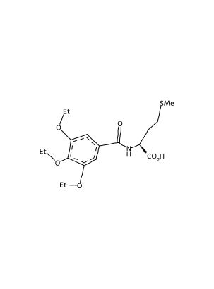 CCOc1cc(C(=O)N[C@@H](CCSC)C(=O)O)cc(OCC)c1OCC